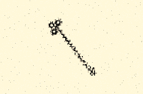 O=C(O)COCCOCCOCCOCCOCCCCCCCCCCCSC(c1ccccc1)(c1ccccc1)c1ccccc1